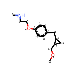 CNCCOc1ccc(CC2CC2COC)cc1